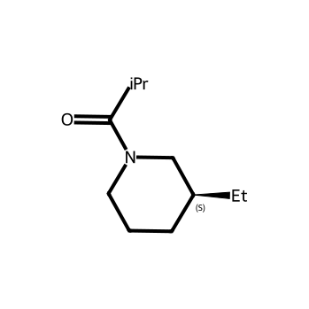 CC[C@H]1CCCN(C(=O)C(C)C)C1